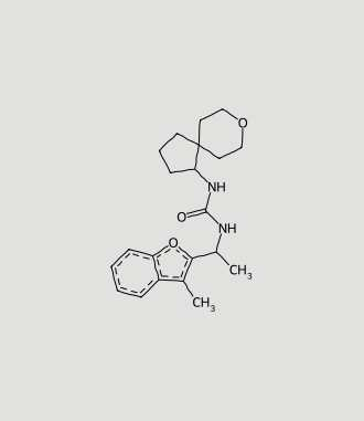 Cc1c(C(C)NC(=O)NC2CCCC23CCOCC3)oc2ccccc12